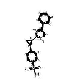 NS(=O)(=O)c1ccc([C@H]2C[C@@H]2c2nc(-c3ccccc3)co2)cc1